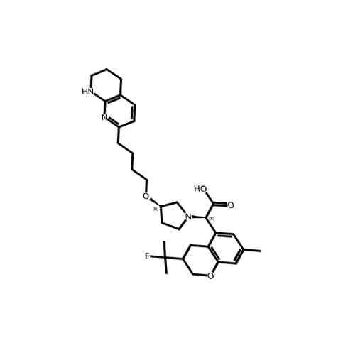 Cc1cc2c(c([C@H](C(=O)O)N3CC[C@@H](OCCCCc4ccc5c(n4)NCCC5)C3)c1)CC(C(C)(C)F)CO2